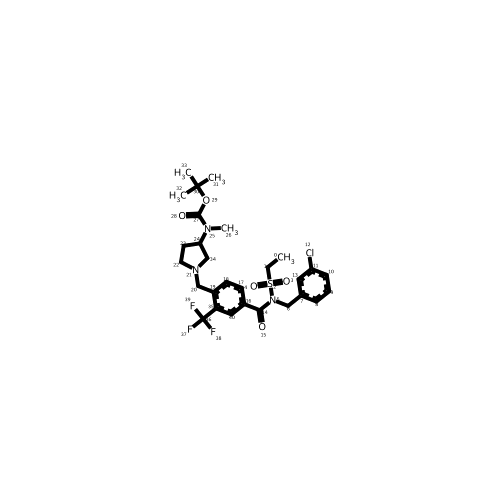 CCS(=O)(=O)N(Cc1cccc(Cl)c1)C(=O)c1ccc(CN2CCC(N(C)C(=O)OC(C)(C)C)C2)c(C(F)(F)F)c1